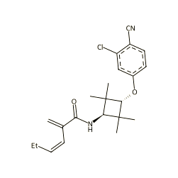 C=C(/C=C\CC)C(=O)N[C@H]1C(C)(C)[C@H](Oc2ccc(C#N)c(Cl)c2)C1(C)C